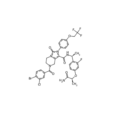 C[C@H](Oc1ccc([C@H](C)NC(=O)c2c3n(c(=O)n2-c2ccc(OCC(F)(F)F)cc2)CCN(C(=O)c2ccc(Br)c(Cl)c2)C3)c(F)c1)C(N)=O